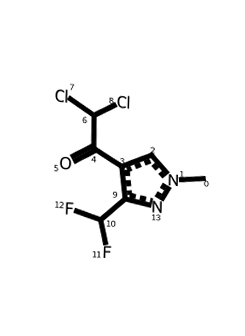 Cn1cc(C(=O)C(Cl)Cl)c(C(F)F)n1